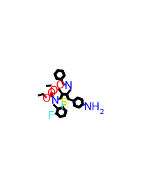 CCOC(=O)c1c(N(Cc2c(F)cccc2F)C(=O)OCC)sc(-c2ccc(N)cc2)c1CN(C)Cc1ccccc1